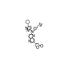 C[Si](C)(C)CCOCN(c1ccc2ncc(C3=CC(=O)OC3)cc2n1)c1nnc(C2CCCC2)s1